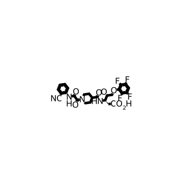 N#Cc1ccccc1NC(=O)C(=O)N1CCC(C(=O)N[C@@H](CC(=O)O)C(=O)COc2c(F)c(F)cc(F)c2F)CC1